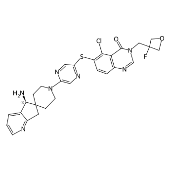 N[C@@H]1c2cccnc2CC12CCN(c1cnc(Sc3ccc4ncn(CC5(F)COC5)c(=O)c4c3Cl)cn1)CC2